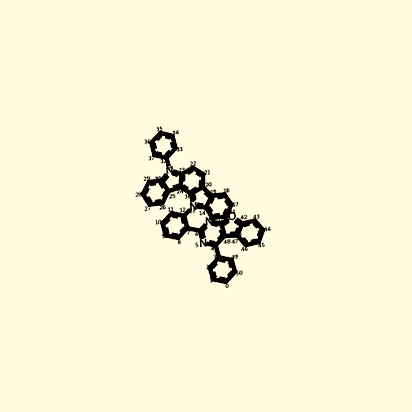 c1ccc(-c2nc(-c3ccccc3-n3c4ccccc4c4ccc5c(c6ccccc6n5-c5ccccc5)c43)nc3oc4ccccc4c23)cc1